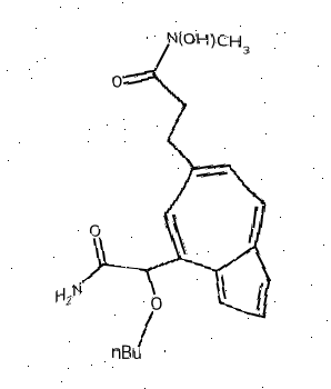 CCCCOC(C(N)=O)c1cc(CCC(=O)N(C)O)ccc2cccc1-2